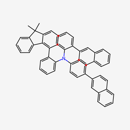 CC1(C)c2ccccc2-c2c(-c3ccccc3N(c3ccc(-c4ccc5ccccc5c4)cc3)c3ccccc3-c3ccc4ccccc4c3)cccc21